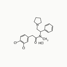 CN(C(=O)Cc1ccc(Cl)c(Cl)c1)C(CN1CCCC1)c1ccccc1.Cl